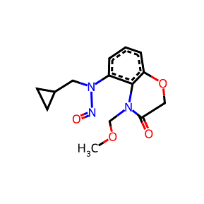 COCN1C(=O)COc2cccc(N(CC3CC3)N=O)c21